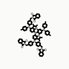 Cc1ccc(N(c2ccc(C)cc2)c2cc3c4c(c2)-n2c(C)c(C)c5c(N(c6ccc(CN7C(=O)c8ccccc8C7=O)cc6)c6ccc(CN7C(=O)c8ccccc8C7=O)cc6)ccc(c52)B4c2ccc(N(c4ccc(C)cc4)c4ccc(CN5C(=O)c6ccccc6C5=O)cc4)c4c(C)c(C)n-3c24)cc1